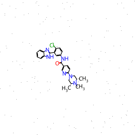 C[C@@H]1CN(c2ccc(C(=O)Nc3ccc(Cl)c(-c4nc5ccccc5[nH]4)c3)cn2)C[C@H](C)N1C